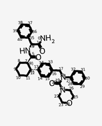 NC(=O)[C@@H](NC(=O)[C@@H]1CCCC[C@H]1c1ccc(CN(C(=O)N2CCOCC2)c2ccccc2)cc1)c1ccccc1